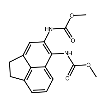 COC(=O)Nc1cc2c3c(cccc3c1NC(=O)OC)CC2